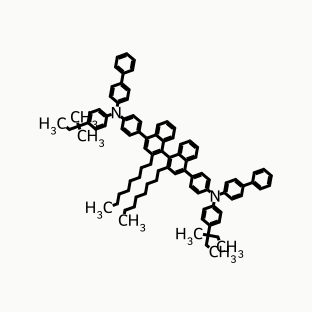 CCCCCCCCc1cc(-c2ccc(N(c3ccc(-c4ccccc4)cc3)c3ccc(C(C)(C)CC)cc3)cc2)c2ccccc2c1-c1c(CCCCCCCC)cc(-c2ccc(N(c3ccc(-c4ccccc4)cc3)c3ccc(C(C)(CC)CC)cc3)cc2)c2ccccc12